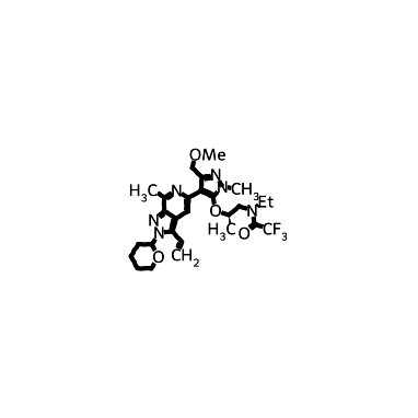 C=Cc1c2cc(-c3c(COC)nn(C)c3O[C@@H](C)CN(CC)C(=O)C(F)(F)F)nc(C)c2nn1C1CCCCO1